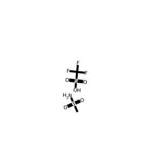 CS(N)(=O)=O.O=S(=O)(O)C(F)(F)F